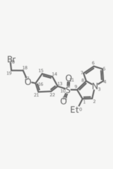 CCc1cn2ccccc2c1S(=O)(=O)c1ccc(OCCBr)cc1